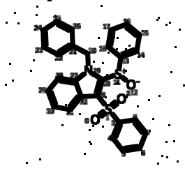 O=S(=O)(c1ccccc1)c1c([S+]([O-])c2ccccc2)n(Cc2ccccc2)c2ccccc12